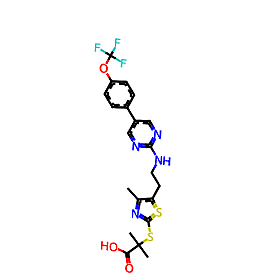 Cc1nc(SC(C)(C)C(=O)O)sc1CCNc1ncc(-c2ccc(OC(F)(F)F)cc2)cn1